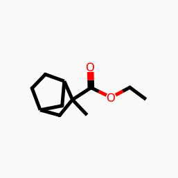 CCOC(=O)C1(C)CC2CCC1C2